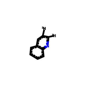 [2H]c1cc2ccccc2nc1[2H]